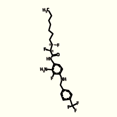 CCCCCCC[C@H](F)[C@H](F)C(=O)Nc1ccc(NCc2ccc(C(F)(F)F)cc2)c(F)c1N